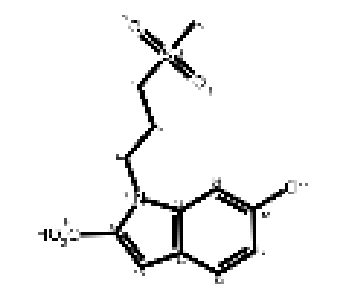 CS(=O)(=O)CCCn1c(C(=O)O)cc2ccc(Cl)cc21